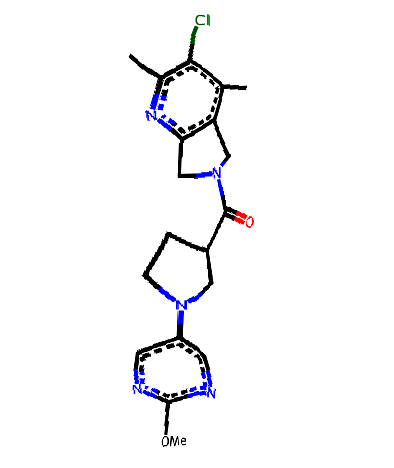 COc1ncc(N2CCC(C(=O)N3Cc4nc(C)c(Cl)c(C)c4C3)C2)cn1